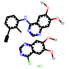 C#Cc1cccc(Nc2ncnc3cc(OCC)c(OCC)cc23)c1C.CCOc1cc2ncnc(Cl)c2cc1OCC.Cl